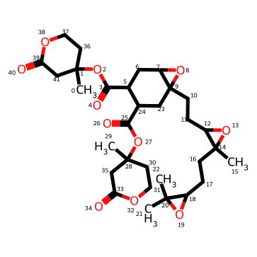 CC1(OC(=O)C2CC3OC3(CCC3OC3(C)CCC3OC3(C)C)CC2C(=O)OC2(C)CCOC(=O)C2)CCOC(=O)C1